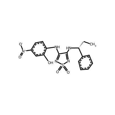 CC[C@@H](NC1=NS(=O)(=O)N=C1Nc1ccc([N+](=O)[O-])cc1O)c1ccccc1